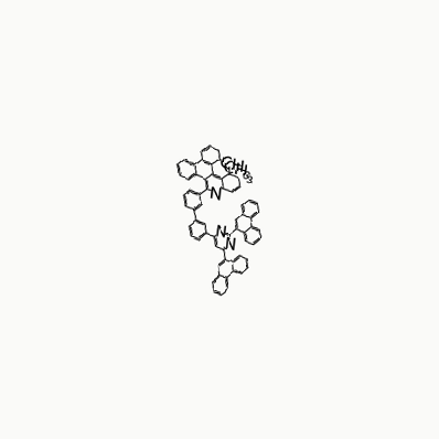 C[C@H]1CC=Cc2nc(-c3cccc(-c4cccc(-c5cc(-c6cc7ccccc7c7ccccc67)nc(-c6cc7ccccc7c7ccccc67)n5)c4)c3)c3c(c21)c1c(c2ccccc23)C=CC[C@@H]1C